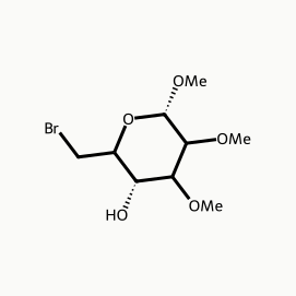 COC1C(OC)[C@H](O)C(CBr)O[C@@H]1OC